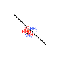 CCCCCCCCCCCCCC=CC(OP(=O)(O)C(O)CN)C(N)COC(=O)CCCCCCCCCCCCCC